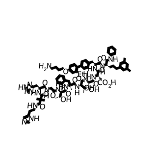 CCc1cc(OCCCCN)ccc1-c1ccc(C[C@H](NC(=O)[C@H](CC(=O)O)NC(=O)[C@H](CO)NC(=O)[C@@H](NC(=O)[C@](C)(Cc2ccccc2F)NC(=O)[C@@H](NC(=O)CNC(=O)[C@H](Cc2nn[nH]n2)NC(=O)C(C)(C)C(=O)NCCc2cnc[nH]2)[C@@H](C)O)[C@@H](C)O)C(=O)N[C@@H](CCCc2cc(C)cc(C)c2)C(=O)Nc2ccccc2)cc1